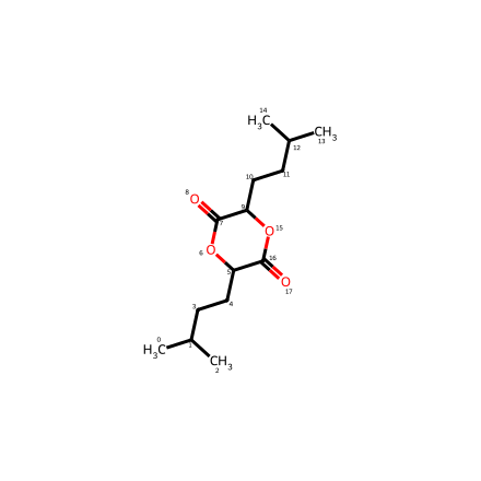 CC(C)CCC1OC(=O)C(CCC(C)C)OC1=O